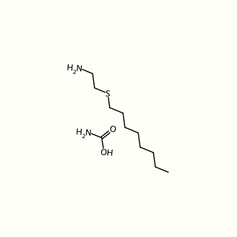 CCCCCCCCSCCN.NC(=O)O